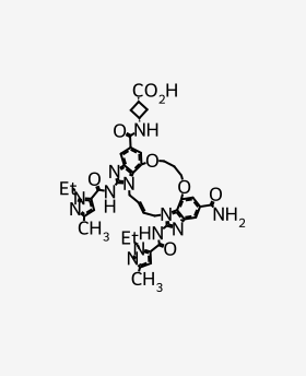 CCn1nc(C)cc1C(=O)Nc1nc2cc(C(N)=O)cc3c2n1C/C=C/Cn1c(NC(=O)c2cc(C)nn2CC)nc2cc(C(=O)N[C@H]4C[C@@H](C(=O)O)C4)cc(c21)OCCCO3